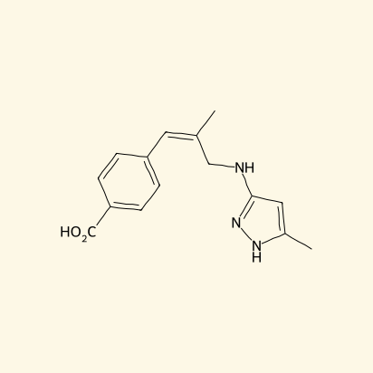 CC(=Cc1ccc(C(=O)O)cc1)CNc1cc(C)[nH]n1